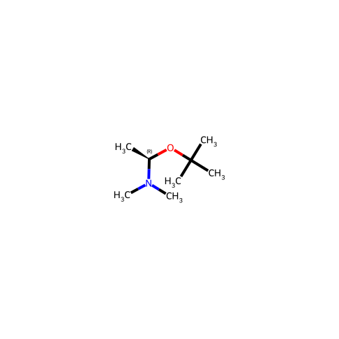 C[C@@H](OC(C)(C)C)N(C)C